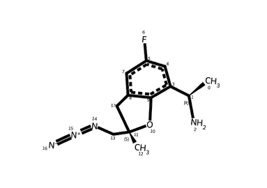 C[C@@H](N)c1cc(F)cc2c1O[C@](C)(CN=[N+]=[N-])C2